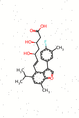 Cc1cc(-c2coc3c(C)cc(C(C)C)c(C=C[C@@H](O)C[C@@H](O)CC(=O)O)c23)ccc1F